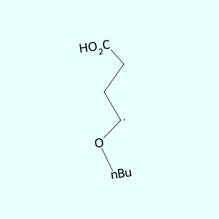 CCCCO[CH]CCC(=O)O